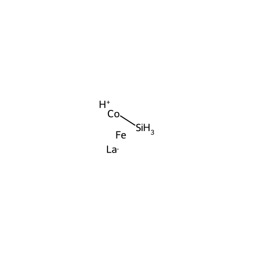 [Fe].[H+].[La].[SiH3][Co]